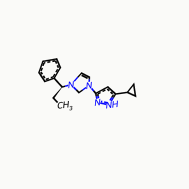 CC[C@@H](c1ccccc1)N1C=CN(c2cc(C3CC3)[nH]n2)C1